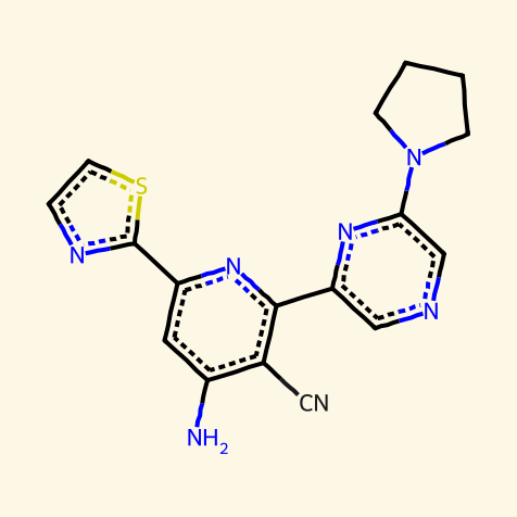 N#Cc1c(N)cc(-c2nccs2)nc1-c1cncc(N2CCCC2)n1